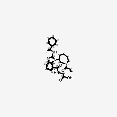 C=CC(=O)N1CCCCC(n2c(NC(=O)c3ccccc3)nc3cccc(C(=O)NCC(=O)O)c32)C1